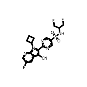 N#Cc1c(-c2ncc(S(=O)(=O)NC(CF)CF)cn2)n(C2CCC2)c2ncc(F)cc12